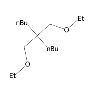 CCCCC(CCCC)(COCC)COCC